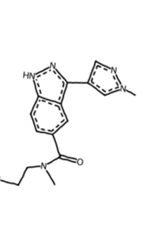 CNCCN(C)C(=O)c1ccc2[nH]nc(-c3cnn(C)c3)c2c1